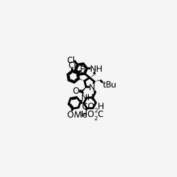 COC1=CC=CC(NC(=O)[C@H]2[C@H](c3cccc(Cl)c3F)[C@]3(CNc4cc(Cl)ccc43)[C@H](CC(C)(C)C)N2CC2CCC(C(=O)O)CC2)(C(=O)O)C1